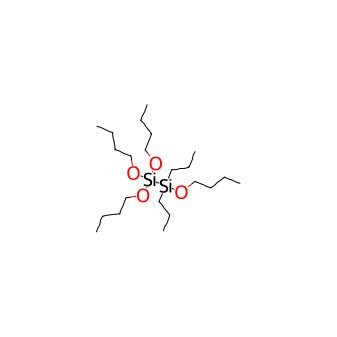 CCCCO[Si](CCC)(CCC)[Si](OCCCC)(OCCCC)OCCCC